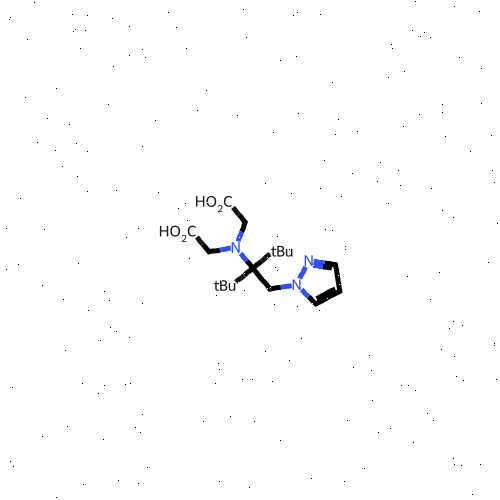 CC(C)(C)C(Cn1cccn1)(N(CC(=O)O)CC(=O)O)C(C)(C)C